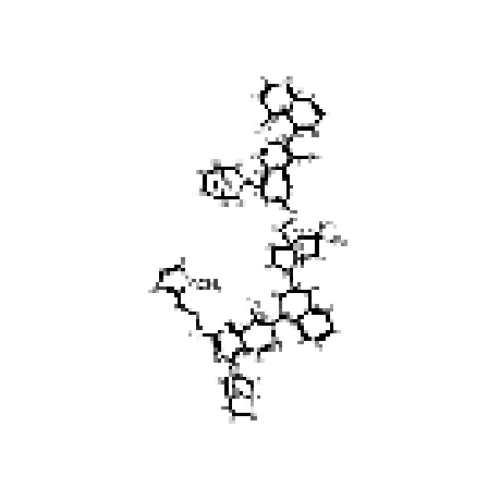 Cn1ccnc1CCOc1nc(N2CC3CCC(C2)N3)c2cnc(C3CC(C4CCC5(COc6nc(N7CC8CCC(C7)N8)c7cnc(-c8cccc9cccc(Cl)c89)c(F)c7n6)CC(F)(F)CN45)=Cc4ccccc43)c(F)c2n1